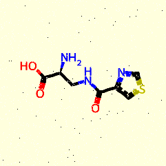 N[C@@H](CNC(=O)c1cscn1)C(=O)O